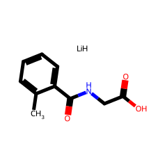 Cc1ccccc1C(=O)NCC(=O)O.[LiH]